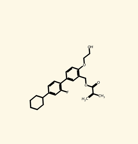 C=C(C)C(=O)OCc1cc(-c2ccc(C3CCCCC3)cc2F)ccc1OCCO